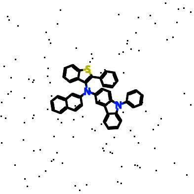 c1ccc(-c2sc3ccccc3c2N(c2ccc3ccccc3c2)c2ccc3c(c2)c2ccccc2n3-c2ccccc2)cc1